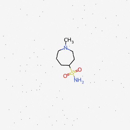 CN1CCCC(S(N)(=O)=O)CC1